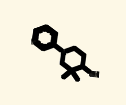 CC1(C)CN(c2cccnc2)CCC1O